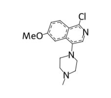 COc1ccc2c(Cl)ncc(N3CCN(C)CC3)c2c1